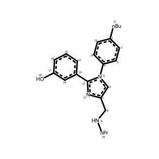 CCCCc1ccc(-n2cc(CNCCC)nc2-c2cccc(O)c2)cc1